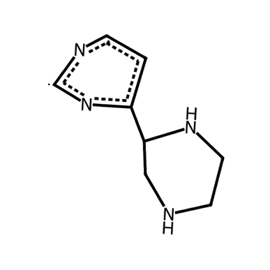 [c]1nccc(C2CNCCN2)n1